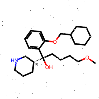 COCCCCC(O)(c1ccccc1OCC1CCCCC1)[C@@H]1CCCNC1